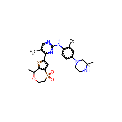 CCc1cc(N2CCN[C@H](C)C2)ccc1Nc1ncc(C(F)(F)F)c(-c2cc3c(s2)C(C)OCCS3(=O)=O)n1